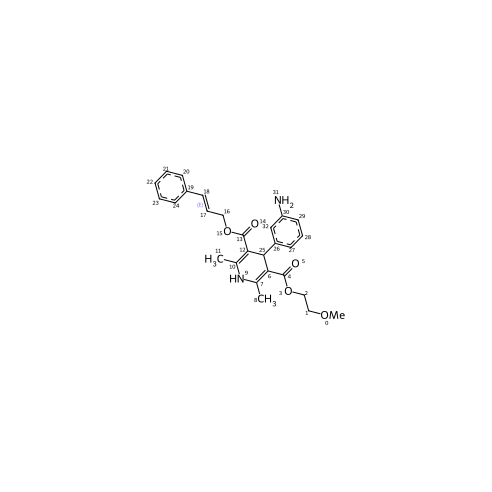 COCCOC(=O)C1=C(C)NC(C)=C(C(=O)OC/C=C/c2ccccc2)C1c1cccc(N)c1